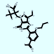 CCCOc1ccc(C(C)=O)cc1-c1nc2c(CC)nn(CC(C)(C(=O)O)C(C)(C)C)c2c(=O)[nH]1